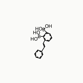 OB(O)c1cccc(C=Cc2ccccc2)c1B(O)O